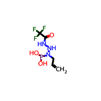 C=CCN(NNC(=O)C(F)(F)F)P(O)O